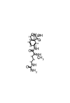 CN[C@@H](CCCNC(N)=O)C(=O)Nc1ccc(CO)c(S(=O)(=O)O)c1